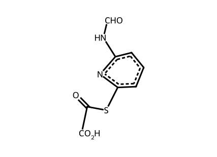 O=CNc1cccc(SC(=O)C(=O)O)n1